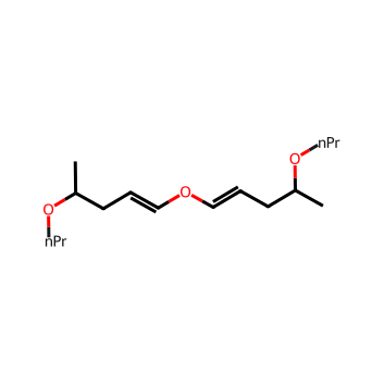 CCCOC(C)CC=COC=CCC(C)OCCC